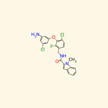 Cn1c(C(=O)NCc2ccc(Cl)c(Oc3cc(N)cc(Cl)c3)c2F)cc2ccccc21